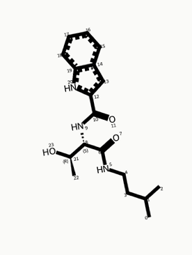 CC(C)CCNC(=O)[C@@H](NC(=O)c1cc2ccccc2[nH]1)[C@@H](C)O